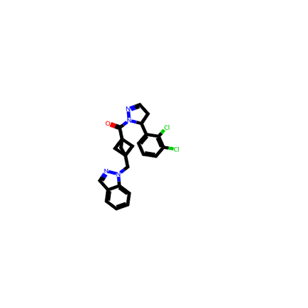 O=C(N1N=CCC1c1cccc(Cl)c1Cl)C12CC(Cn3ncc4ccccc43)(C1)C2